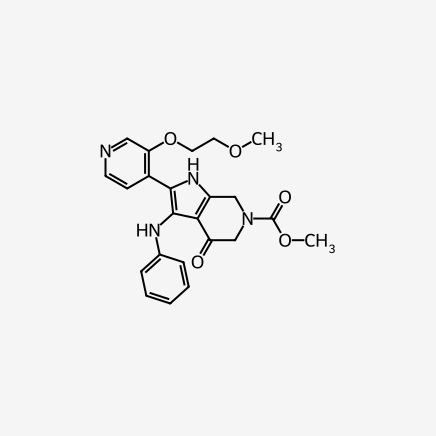 COCCOc1cnccc1-c1[nH]c2c(c1Nc1ccccc1)C(=O)CN(C(=O)OC)C2